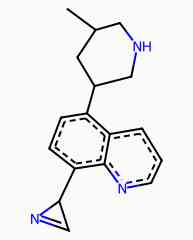 CC1CNCC(c2ccc(C3C=N3)c3ncccc23)C1